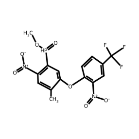 CO[PH](=O)c1cc(Oc2ccc(C(F)(F)F)cc2[N+](=O)[O-])c(C)cc1[N+](=O)[O-]